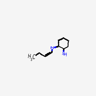 CC/C=C\N=C1\CCCCC1=N